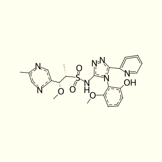 COc1cccc(O)c1-n1c(NS(=O)(=O)[C@@H](C)[C@H](OC)c2cnc(C)cn2)nnc1C1=C=C=CC=N1